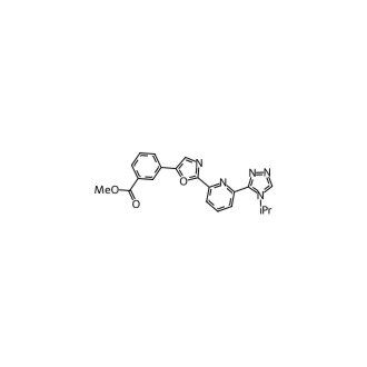 COC(=O)c1cccc(-c2cnc(-c3cccc(-c4nncn4C(C)C)n3)o2)c1